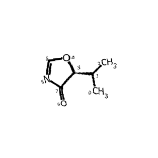 CC(C)[C@@H]1OC=NC1=O